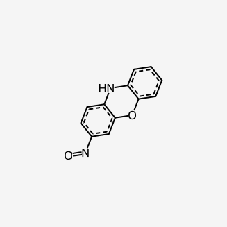 O=Nc1ccc2c(c1)Oc1ccccc1N2